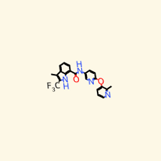 Cc1ncccc1Oc1ccc(NC(=O)c2cccc3c(C)c(C(F)(F)F)[nH]c23)cn1